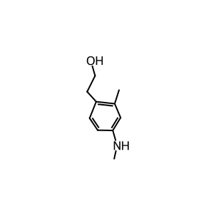 CNc1ccc(CCO)c(C)c1